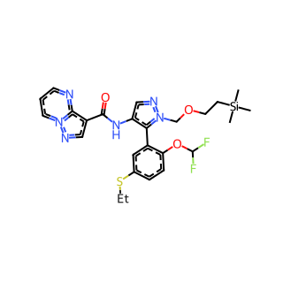 CCSc1ccc(OC(F)F)c(-c2c(NC(=O)c3cnn4cccnc34)cnn2COCC[Si](C)(C)C)c1